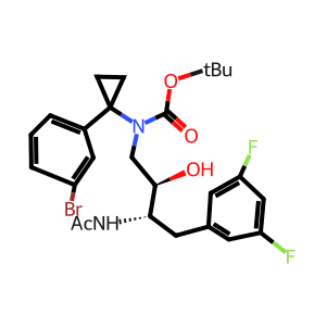 CC(=O)N[C@@H](Cc1cc(F)cc(F)c1)[C@H](O)CN(C(=O)OC(C)(C)C)C1(c2cccc(Br)c2)CC1